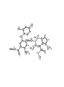 COC(=O)c1cc(Oc2ccc(Cl)cc2Cl)ccc1[N+](=O)[O-].COCC(C)N(C(=O)CCl)c1c(C)csc1C